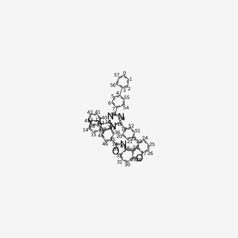 c1ccc(-c2ccc(-c3nc(-c4ccccc4)nc(-c4ccc(-c5cccc6oc7ccc8oc(-c9ccc(-c%10ccccc%10)cc9)nc8c7c56)cc4)n3)cc2)cc1